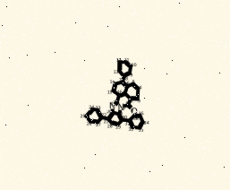 O=c1c2cccc3c(-c4ccccc4)ccc(c32)c2nc3c(-c4ccccc4)ccc(-c4ccccc4)c3n12